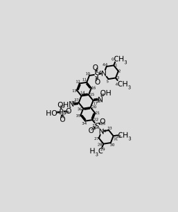 CC1CC(C)CN(S(=O)(=O)Cc2ccc3c(c2)/C(=N\O)c2cc(S(=O)(=O)N4CC(C)CC(C)C4)ccc2/C3=N\OP(=O)(O)O)C1